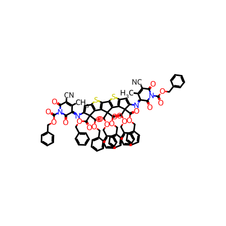 CC1=C(C#N)C(=O)N(C(=O)OCc2ccccc2)C(=O)/C1=N/C1=Cc2sc3c(c2C1(C(=O)OCc1ccccc1)C(=O)OCc1ccccc1)C(C(=O)OCc1ccccc1)(C(=O)OCc1ccccc1)c1c-3sc2c1C(C(=O)OCc1ccccc1)(C(=O)OCc1ccccc1)C(/N=C1/C(=O)N(C(=O)OCc3ccccc3)C(=O)C(C#N)=C1C)=C2